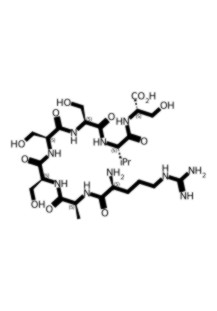 CC(C)[C@H](NC(=O)[C@H](CO)NC(=O)[C@H](CO)NC(=O)[C@H](CO)NC(=O)[C@H](C)NC(=O)[C@@H](N)CCCNC(=N)N)C(=O)N[C@@H](CO)C(=O)O